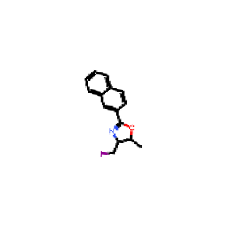 CC1OC(c2ccc3ccccc3c2)=NC1CI